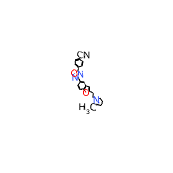 C[C@@H]1CCCN1CCc1cc2cc(-c3noc(-c4ccc(C#N)cc4)n3)ccc2o1